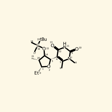 CC[C@H]1O[C@@H](c2c(C)n(C)c(=O)[nH]c2=O)C(O[Si](C)(C)C(C)(C)C)[C@H]1C